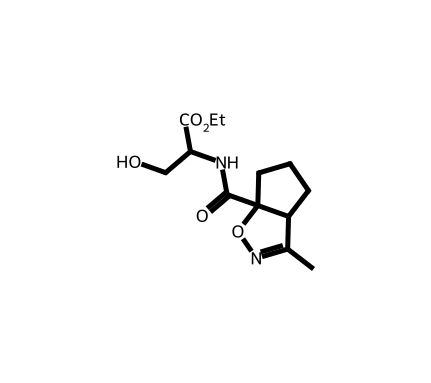 CCOC(=O)C(CO)NC(=O)C12CCCC1C(C)=NO2